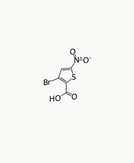 O=C(O)c1sc([N+](=O)[O-])cc1Br